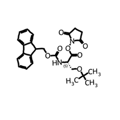 CC(C)(C)OC[C@H](NC(=O)OCC1c2ccccc2-c2ccccc21)C(=O)ON1C(=O)CCC1=O